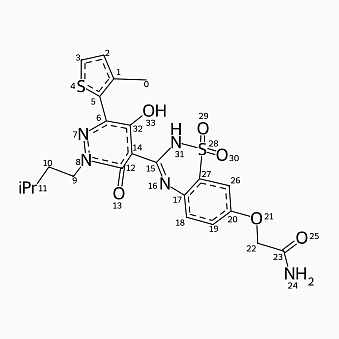 Cc1ccsc1-c1nn(CCC(C)C)c(=O)c(C2=Nc3ccc(OCC(N)=O)cc3S(=O)(=O)N2)c1O